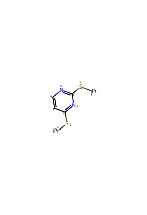 CC(C)Sc1ccnc(SC(C)C)n1